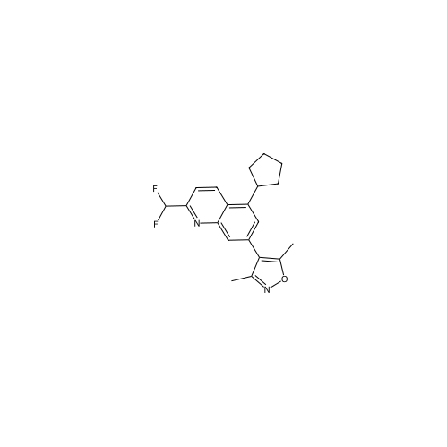 Cc1noc(C)c1-c1cc(C2CCCC2)c2ccc(C(F)F)nc2c1